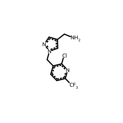 NCc1cnn(Cc2ccc(C(F)(F)F)nc2Cl)c1